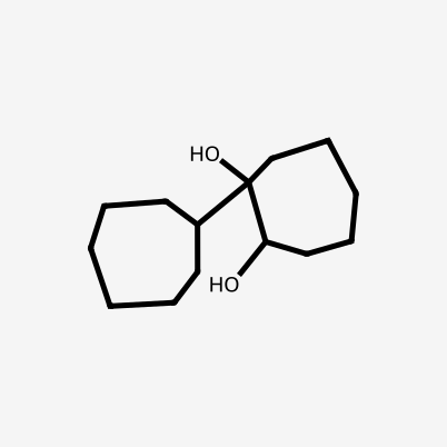 OC1CCCCCC1(O)C1CCCCCC1